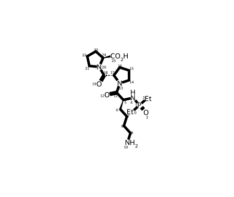 CCP(=O)(CC)N[C@@H](CCCCN)C(=O)N1CCC[C@H]1C(=O)N1CCC[C@H]1C(=O)O